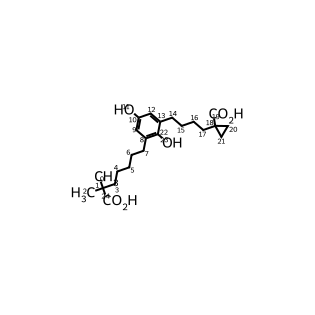 CC(C)(CCCCCc1cc(O)cc(CCCCC2(C(=O)O)CC2)c1O)C(=O)O